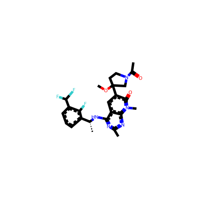 COC1(c2cc3c(N[C@H](C)c4cccc(C(F)F)c4F)nc(C)nc3n(C)c2=O)CCN(C(C)=O)C1